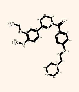 CCOc1cc(C2=NN(C(=O)c3ccc(OCCN4CCSCC4)cc3)CCC2)ccc1OC